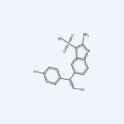 CC(=O)/C=C(/c1ccc(F)cc1)c1ccc2nc(N)n(S(=O)(=O)C(C)C)c2c1